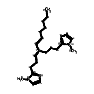 CCCCCCCN(CCCc1nccn1C)CCCc1nccn1C